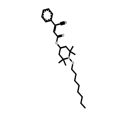 CCCCCCCCON1C(C)(C)CC(OC(=O)C=C(C#N)c2ccccc2)CC1(C)C